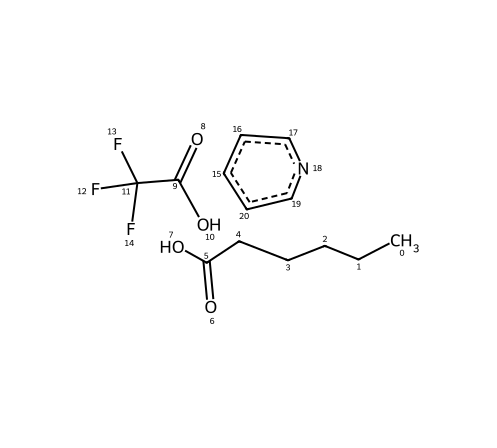 CCCCCC(=O)O.O=C(O)C(F)(F)F.c1ccncc1